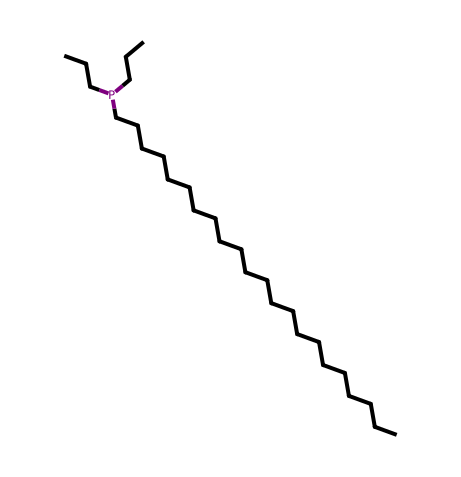 CCCCCCCCCCCCCCCCCCCCCCP(CCC)CCC